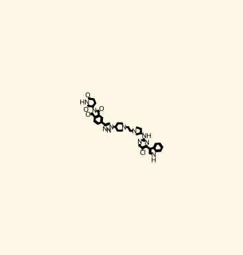 O=C1CCC(N2C(=O)c3ccc(-c4cn(C5CCN(CCN6CC[C@@H](Nc7ncc(Cl)c(-c8c[nH]c9ccccc89)n7)C6)CC5)nn4)cc3C2=O)C(=O)N1